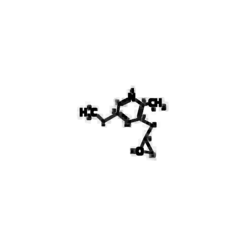 CCc1cnc(C)c(CC2CO2)c1